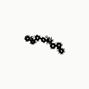 c1cc(-c2ccc3c(c2)sc2ncc(-c4cccc(-c5cccc6c5sc5ccccc56)c4)nc23)cc(-c2cccc3c2sc2ccccc23)c1